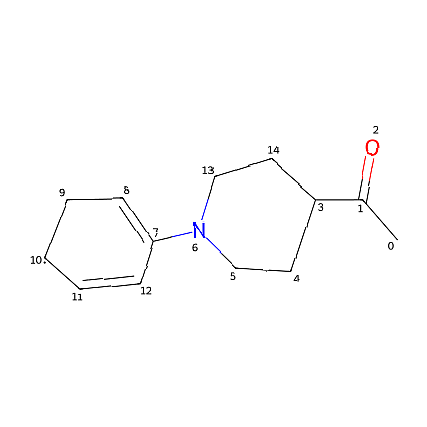 CC(=O)C1CCN(C2=CC[CH]C=C2)CC1